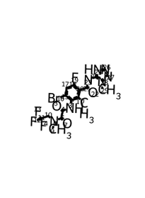 Cc1c(NC(=O)C(=O)N(C)CC(F)(F)F)c(Br)cc(F)c1C(=O)Nc1nnnn1C